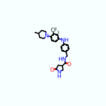 CC1CCN(c2ccc(Nc3ccc(CNC(=O)C4CNC(=O)C4)cc3)cc2C(F)(F)F)CC1